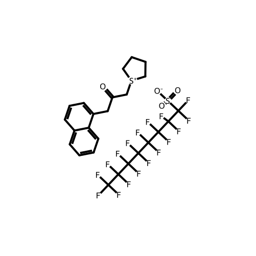 O=C(Cc1cccc2ccccc12)C[S+]1CCCC1.O=S(=O)([O-])C(F)(F)C(F)(F)C(F)(F)C(F)(F)C(F)(F)C(F)(F)C(F)(F)C(F)(F)F